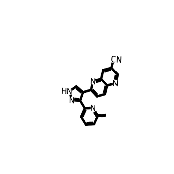 Cc1cccc(-c2n[nH]cc2-c2ccc3ncc(C#N)cc3n2)n1